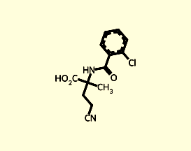 CC(CCC#N)(NC(=O)c1ccccc1Cl)C(=O)O